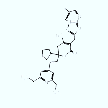 Cc1cnc2nc(CC3=C(O)CC(CCc4cc(CC(F)(F)F)nc(CC(F)(F)F)c4)(C4CCCC4)OC3=O)nn2c1